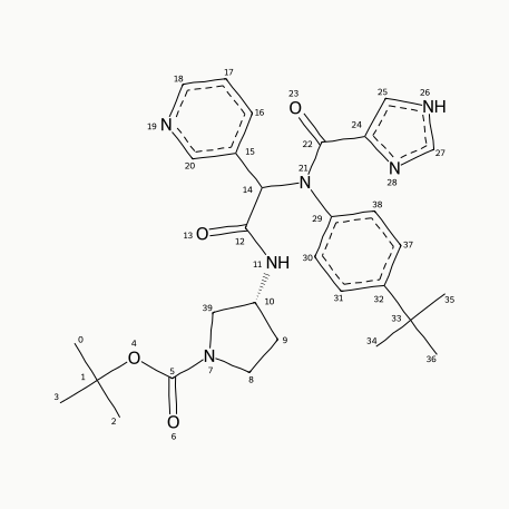 CC(C)(C)OC(=O)N1CC[C@@H](NC(=O)C(c2cccnc2)N(C(=O)c2c[nH]cn2)c2ccc(C(C)(C)C)cc2)C1